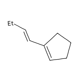 CC/C=C/C1=CCCC1